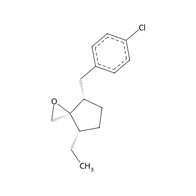 CC[C@H]1CC[C@@H](Cc2ccc(Cl)cc2)[C@@]12CO2